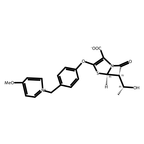 COc1cc[n+](Cc2ccc(OC3=C(C(=O)[O-])N4C(=O)[C@H]([C@@H](C)O)[C@H]4S3)cc2)cc1